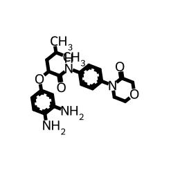 CC(C)CC(Oc1ccc(N)c(N)c1)C(=O)Nc1ccc(N2CCOCC2=O)cc1